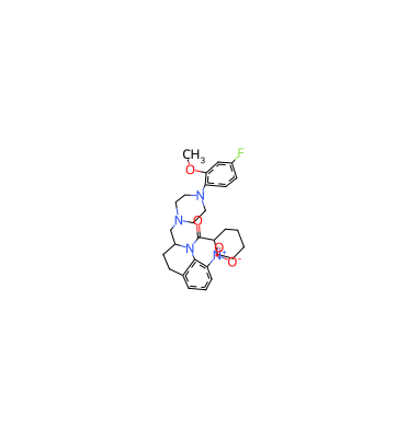 COc1cc(F)ccc1N1CCN(CC2CCc3cccc([N+](=O)[O-])c3N2C(=O)C2CCCCC2)CC1